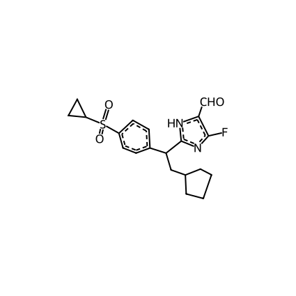 O=Cc1[nH]c(C(CC2CCCC2)c2ccc(S(=O)(=O)C3CC3)cc2)nc1F